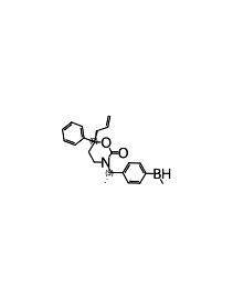 C=CC[C@]1(c2ccccc2)CCN([C@@H](C)c2ccc(BC)cc2)C(=O)O1